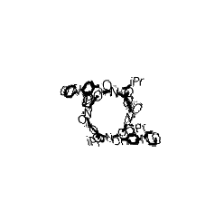 CC(C)CC[C@@H]1C(=O)O[C@H](C)C(=O)N(C)[C@@H](CC(C)C)C(=O)O[C@H](Cc2ccc(N3CCOCC3)cc2)C(O)N(C)[C@@H](CC(C)C)C(=O)O[C@H](C)C(=O)N(C)[C@@H](CC(C)C)C(=O)O[C@H](Cc2ccc(N3CCOCC3)cc2)C(=O)N1C